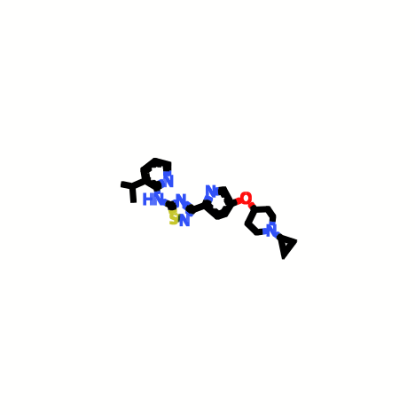 CC(C)c1cccnc1Nc1nc(-c2ccc(OC3CCN(C4CC4)CC3)cn2)ns1